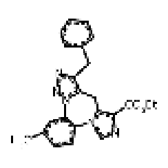 CCOC(=O)c1ncn2c1Cc1c(Cc3ccccc3)nnn1-c1cc(C)ccc1-2